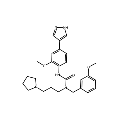 COc1cccc(CN(CCCN2CCCC2)C(=O)Nc2ccc(-c3cn[nH]c3)cc2OC)c1